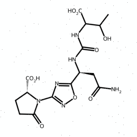 CC(O)C(NC(=O)N[C@@H](CC(N)=O)c1nc(N2C(=O)CC[C@@H]2C(=O)O)no1)C(=O)O